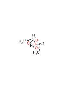 C=CC(=O)CC1(CC)COC(C(C)(C)CC(=O)C=C)OC1